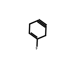 FC1=CCC#CC1